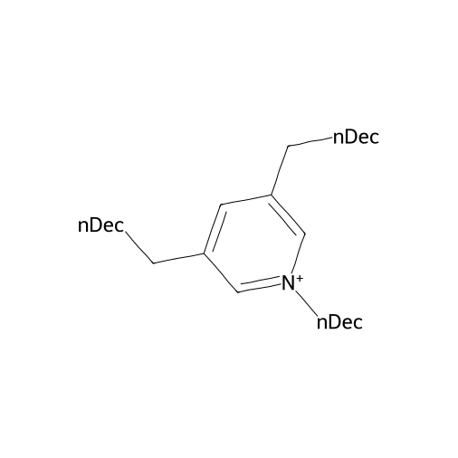 CCCCCCCCCCCc1cc(CCCCCCCCCCC)c[n+](CCCCCCCCCC)c1